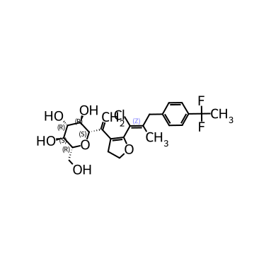 C=C(C1=C(/C(Cl)=C(\C)Cc2ccc(C(C)(F)F)cc2)OCC1)[C@@H]1O[C@H](CO)[C@@H](O)[C@H](O)[C@H]1O